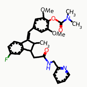 COc1cc(C=C2c3ccc(F)cc3C(CC(=O)NCc3ccccn3)C2C)cc(OC)c1OC(=O)N(C)C